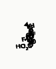 O=C(O)Oc1cn2c3c(c(N4C[C@H](CNC5CC5)[C@H](F)C4)c(F)cc3c1=O)OC[C@@H]2CF